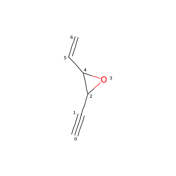 C#CC1OC1C=C